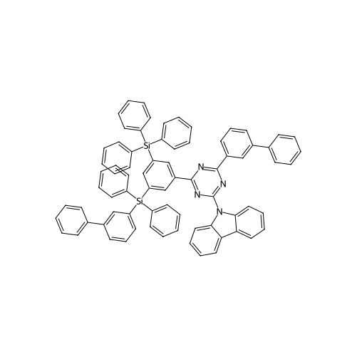 c1ccc(-c2cccc(-c3nc(-c4cc([Si](c5ccccc5)(c5ccccc5)c5ccccc5)cc([Si](c5ccccc5)(c5ccccc5)c5cccc(-c6ccccc6)c5)c4)nc(-n4c5ccccc5c5ccccc54)n3)c2)cc1